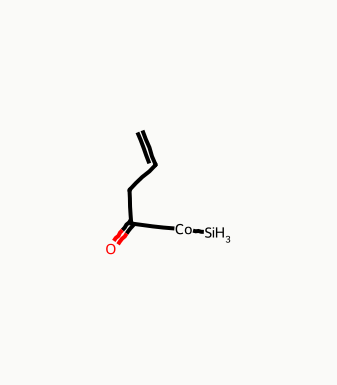 C=CC[C](=O)[Co][SiH3]